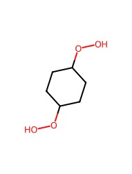 OOC1CCC(OO)CC1